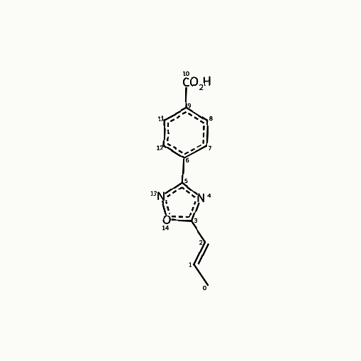 C/C=C/c1nc(-c2ccc(C(=O)O)cc2)no1